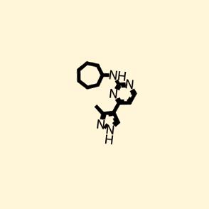 Cc1n[nH]cc1-c1ccnc(NC2CCCCCC2)n1